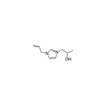 C=CCn1cc[n+](CC(C)O)c1